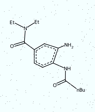 CCCCC(=O)Nc1ccc(C(=O)N(CC)CC)cc1N